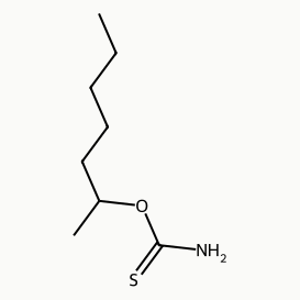 CCCCCC(C)OC(N)=S